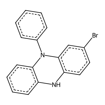 Brc1ccc2c(c1)N(c1ccccc1)c1ccccc1N2